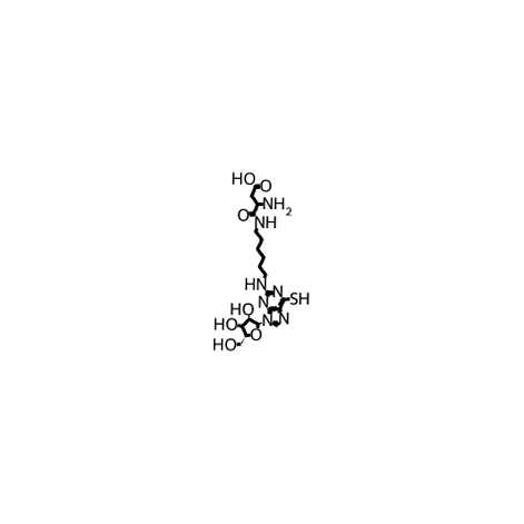 NC(CC(=O)O)C(=O)NCCCCCCNc1nc(S)c2ncn([C@@H]3O[C@H](CO)C(O)[C@@H]3O)c2n1